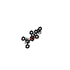 c1ccc(-c2cc(-c3ccc(-c4cccc5c4C4(c6ccccc6-c6ccccc64)c4ccc6c(oc7ccccc76)c4-5)cc3)nc(-c3ccccc3)n2)cc1